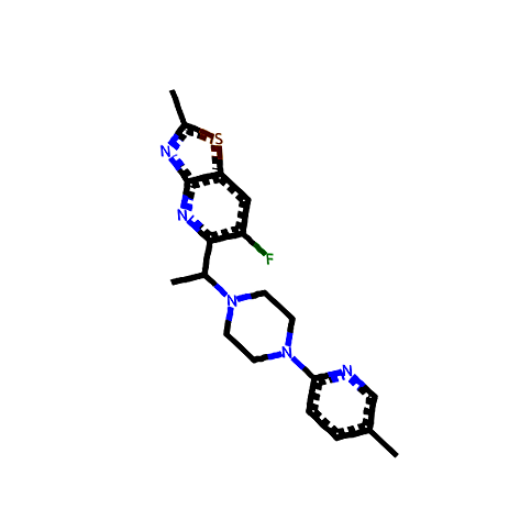 Cc1ccc(N2CCN(C(C)c3nc4nc(C)sc4cc3F)CC2)nc1